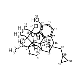 CO[C@]12CC[C@@]3(C[C@@H]1C(C)(O)C(C)(C)C)C1Cc4ccc(O)c5c4C3(CCN1CC1CC1)[C@H]2O5